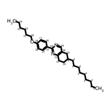 CCCCCCCCCC1CCc2nc(-c3ccc(OCCCCCC)cc3)ncc2C1